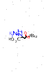 CC(C)(C)OC(=O)CC(NN)C(=O)O